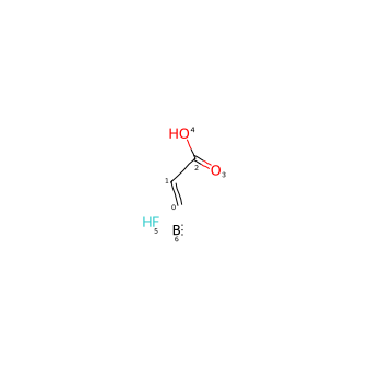 C=CC(=O)O.F.[B]